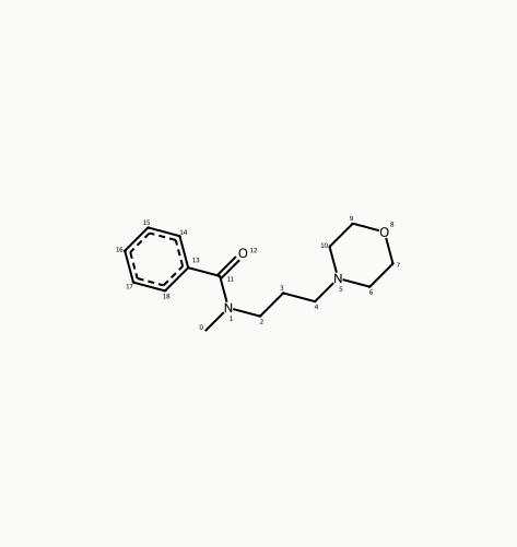 CN(CCCN1CCOCC1)C(=O)c1ccccc1